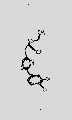 CCOC(=O)Cc1csc(-c2ccc(Cl)c(Br)c2)n1